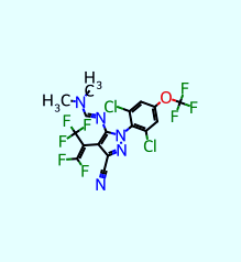 CN(C)C=Nc1c(C(=C(F)F)C(F)(F)F)c(C#N)nn1-c1c(Cl)cc(OC(F)(F)F)cc1Cl